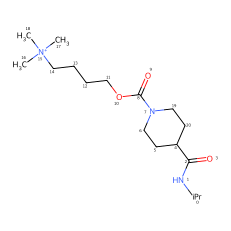 CC(C)NC(=O)C1CCN(C(=O)OCCCC[N+](C)(C)C)CC1